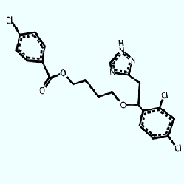 O=C(OCCCCOC(Cc1nc[nH]n1)c1ccc(Cl)cc1Cl)c1ccc(Cl)cc1